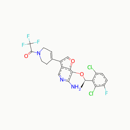 C[C@@H](Oc1c(N)ncc2c(C3=CCN(C(=O)C(F)(F)F)CC3)coc12)c1c(Cl)ccc(F)c1Cl